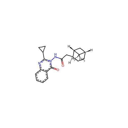 CC1(C)[C@H]2CC[C@@H](CC(=O)Nn3c(C4CC4)nc4ccccc4c3=O)[C@@H]1C2